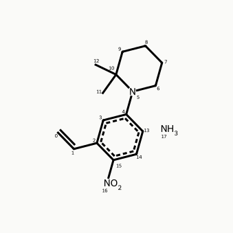 C=Cc1cc(N2CCCCC2(C)C)ccc1[N+](=O)[O-].N